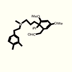 COC1=CC(CC=O)C(CCCN(C)CCc2ccc(C)c(C)c2)(C(C)C)C(OC)=C1